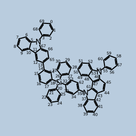 c1ccc(-n2c3ccccc3c3cc(-c4cccc([Si](c5ccccc5)(c5ccccc5)c5ccc(-n6c7ccccc7c7ccc8c(c9ccccc9n8-c8ccccc8)c76)cc5)c4)ccc32)cc1